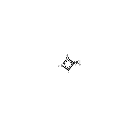 Cl.c1cso1